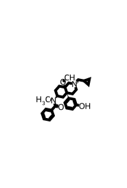 CO[C@]12CC[C@H](N(C)C(=O)c3ccccc3)C[C@]1(c1cccc(O)c1)CCN(CC1CC1)C2